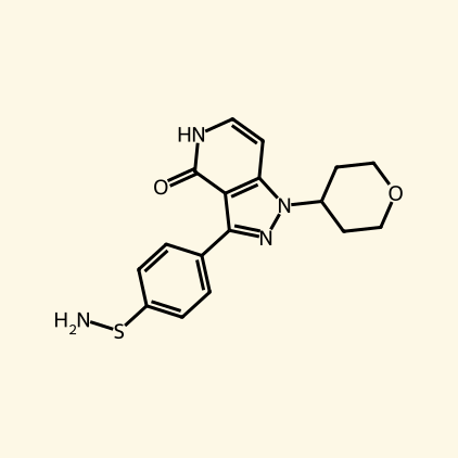 NSc1ccc(-c2nn(C3CCOCC3)c3cc[nH]c(=O)c23)cc1